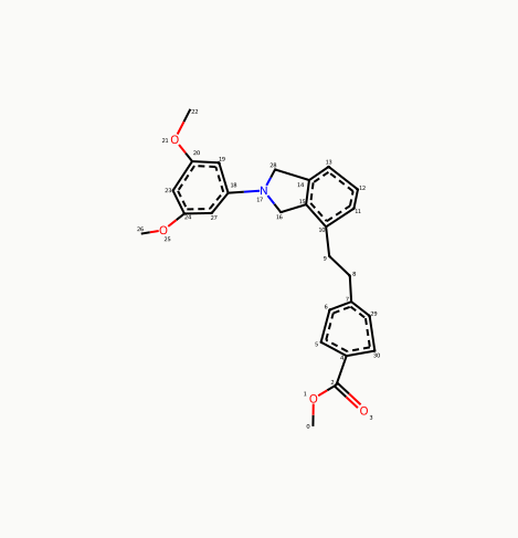 COC(=O)c1ccc(CCc2cccc3c2CN(c2cc(OC)cc(OC)c2)C3)cc1